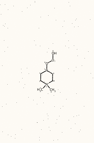 C[N+]1(C)CCN(OOO)CC1